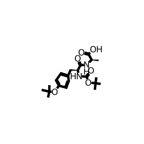 C[C@@H](NC(=O)[C@H](Cc1ccc(OC(C)(C)C)cc1)NC(=O)OC(C)(C)C)C(=O)O